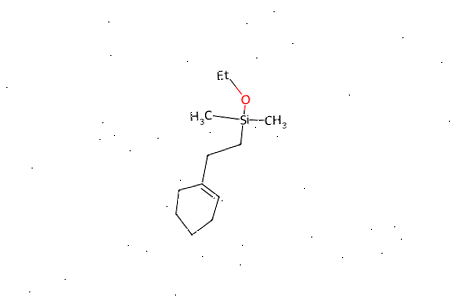 CCO[Si](C)(C)CCC1=CCCCC1